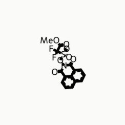 COC(=O)C(F)(F)S(=O)(=O)ON1C(=O)c2cccc3cccc(c23)C1=O